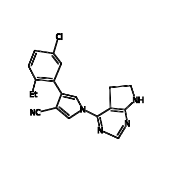 CCc1ccc(Cl)cc1-c1cn(-c2ncnc3c2CCN3)cc1C#N